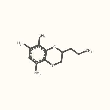 CCCC1CSc2c(N)cc(C)c(N)c2O1